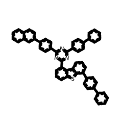 c1ccc(-c2ccc(-c3nc(-c4ccc(-c5ccc6ccccc6c5)cc4)nc(-c4cccc5sc6c(-c7ccc(-c8ccccc8)cc7)cccc6c45)n3)cc2)cc1